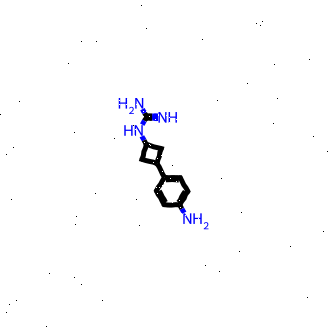 N=C(N)NC1CC(c2ccc(N)cc2)C1